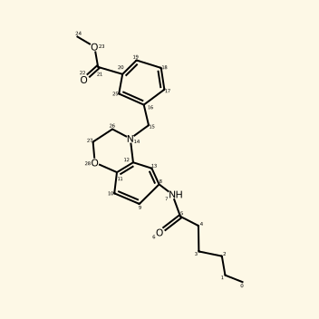 CCCCCC(=O)Nc1ccc2c(c1)N(Cc1cccc(C(=O)OC)c1)CCO2